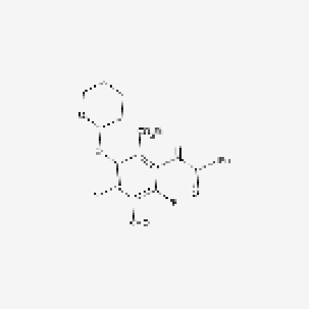 CCOC(=O)c1c(NC(=O)C(C)(C)C)c(F)c(C=O)c(F)c1OC1CCCCO1